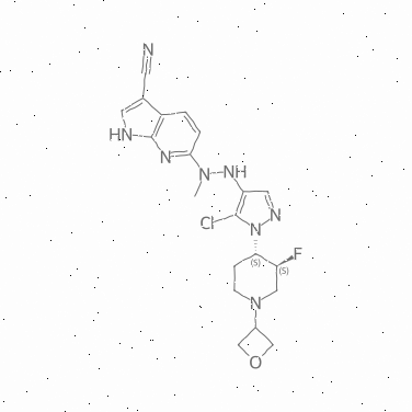 CN(Nc1cnn([C@H]2CCN(C3COC3)C[C@@H]2F)c1Cl)c1ccc2c(C#N)c[nH]c2n1